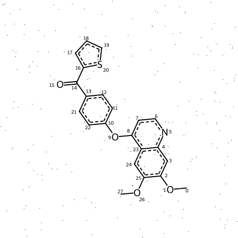 COc1cc2nccc(Oc3ccc(C(=O)c4cccs4)cc3)c2cc1OC